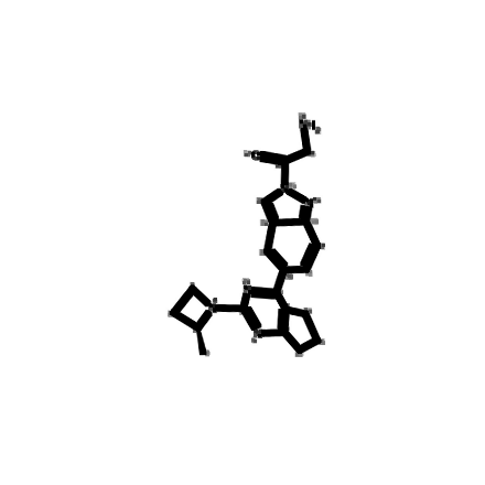 C[C@H]1CCN1c1nc2c(c(-c3ccc4nn(C(=O)CN)cc4c3)n1)CCC2